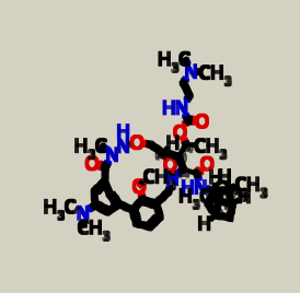 COc1c2cccc1-c1cc(cc(N(C)C)c1)C(=O)N(C)NOC[C@@H]1ON(C2)[C@H](C(=O)N[C@H]2C[C@H]3C[C@@H]([C@@H]2C)C3(C)C)[C@@H]1[C@H](C)OC(=O)NCCN(C)C